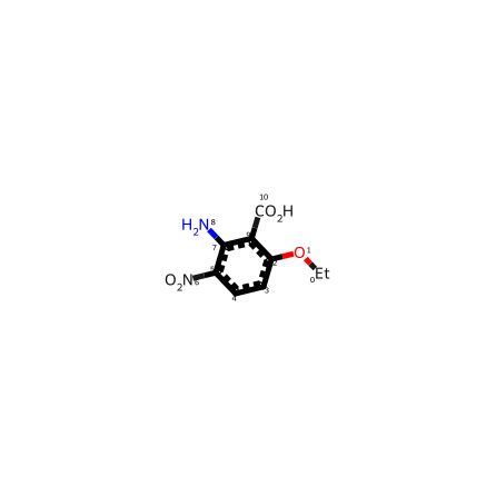 CCOc1ccc([N+](=O)[O-])c(N)c1C(=O)O